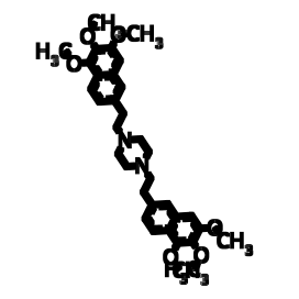 COc1cc2cc(CCN3CCN(CCc4ccc5c(OC)c(OC)c(OC)cc5c4)CC3)ccc2c(OC)c1OC